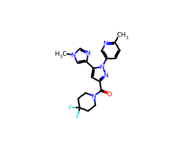 Cc1ccc(-n2nc(C(=O)N3CCC(F)(F)CC3)cc2-c2cn(C)cn2)cn1